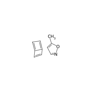 Cc1ccno1.c1cc2ccc1-2